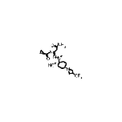 CN(/N=C(\CC(N)=O)NC(=O)C1CC1)[C@]1(CC#N)CC[C@@H](N2CC(C(F)(F)F)C2)CC1